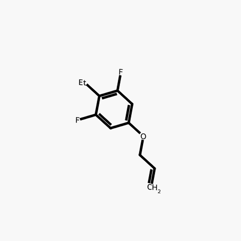 [CH2]Cc1c(F)cc(OCC=C)cc1F